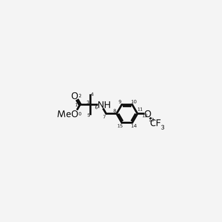 COC(=O)C(C)(C)NCc1ccc(OC(F)(F)F)cc1